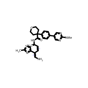 C=C(/C=C\C(=C/N)c1csc(C)n1)NC(=O)C1(c2ccc(-c3cnc(NC)nc3)cc2)CCOCC1